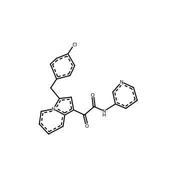 O=C(Nc1cccnc1)C(=O)c1cc(Cc2ccc(Cl)cc2)n2ccccc12